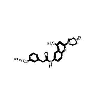 CCN1CCN(c2cc(C)c3cc(NC(=O)Cc4cccc(OC)c4)ccc3n2)CC1